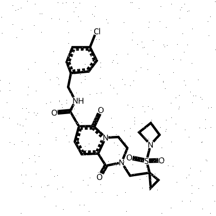 O=C(NCc1ccc(Cl)cc1)c1ccc2n(c1=O)CCN(CC1(S(=O)(=O)N3CCC3)CC1)C2=O